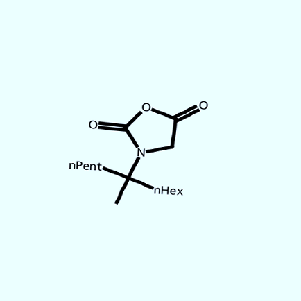 CCCCCCC(C)(CCCCC)N1CC(=O)OC1=O